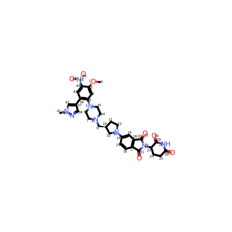 COc1cc(N2CCN(C[C@H]3CCN(c4ccc5c(c4)C(=O)N(C4CCC(=O)NC4=O)C5=O)C3)CC2)c(-c2cnn(C)c2)cc1[N+](=O)[O-]